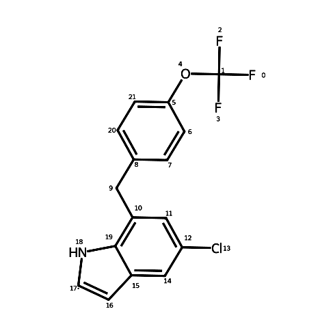 FC(F)(F)Oc1ccc(Cc2cc(Cl)cc3c[c][nH]c23)cc1